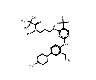 CCc1cc(N2CCN(C)CC2)ccc1Nc1ncc(C(F)(F)F)c(NCCCN(C)C(=O)C(C)(C)C)n1